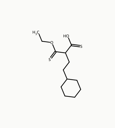 CCOC(=S)C(CCC1CCCCC1)C(O)=S